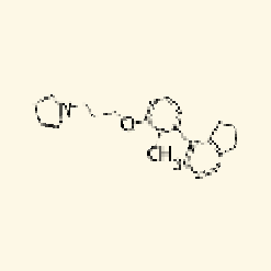 Cc1c(OCCCN2CCCC2)cccc1-c1cccc2c1CCC2